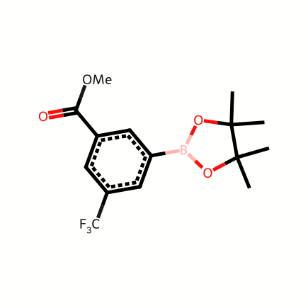 COC(=O)c1cc(B2OC(C)(C)C(C)(C)O2)cc(C(F)(F)F)c1